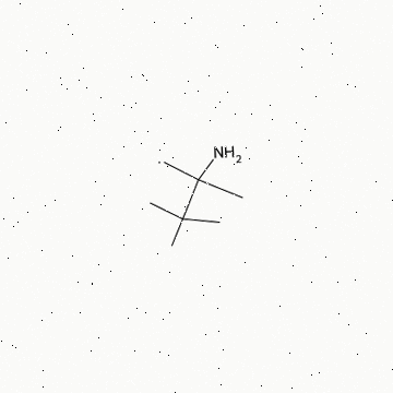 [CH2]C(C)(N)C(C)(C)C